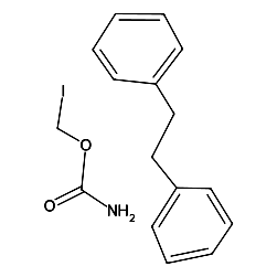 NC(=O)OCI.c1ccc(CCc2ccccc2)cc1